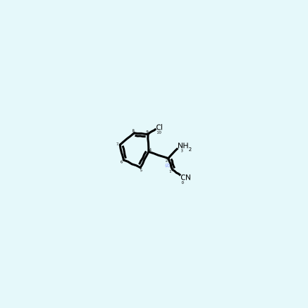 N#C/C=C(\N)c1ccccc1Cl